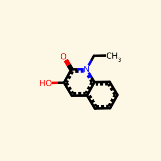 CCn1c(=O)c(O)cc2ccccc21